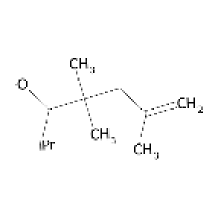 C=C(C)CC(C)(C)C([O])C(C)C